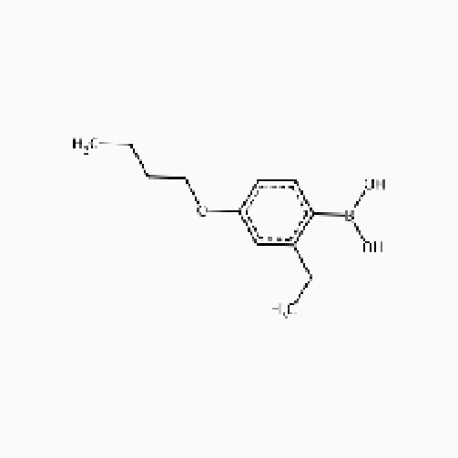 CCCCOc1ccc(B(O)O)c(CC)c1